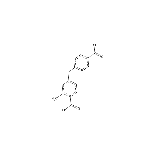 Cc1cc(Cc2ccc(C(=O)Cl)cc2)ccc1C(=O)Cl